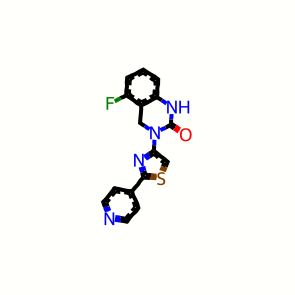 O=C1Nc2cccc(F)c2CN1c1csc(-c2ccncc2)n1